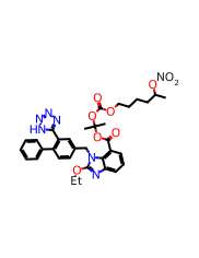 CCOc1nc2cccc(C(=O)OC(C)(C)OC(=O)OCCCCC(C)O[N+](=O)[O-])c2n1Cc1ccc(-c2ccccc2)c(-c2nnn[nH]2)c1